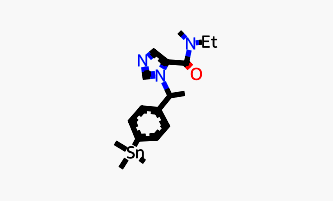 CCN(C)C(=O)c1cncn1C(C)c1cc[c]([Sn]([CH3])([CH3])[CH3])cc1